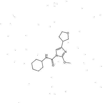 COc1nc(C2CCOC2)cn1C(=O)NC1CCCCC1